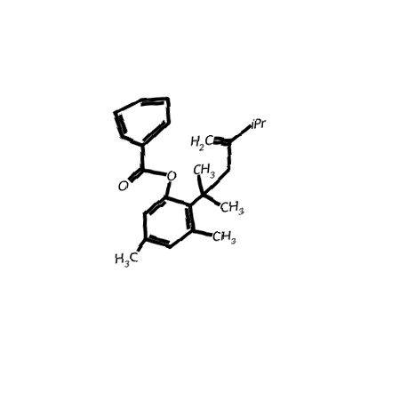 C=C(CC(C)(C)c1c(C)cc(C)cc1OC(=O)c1ccccc1)C(C)C